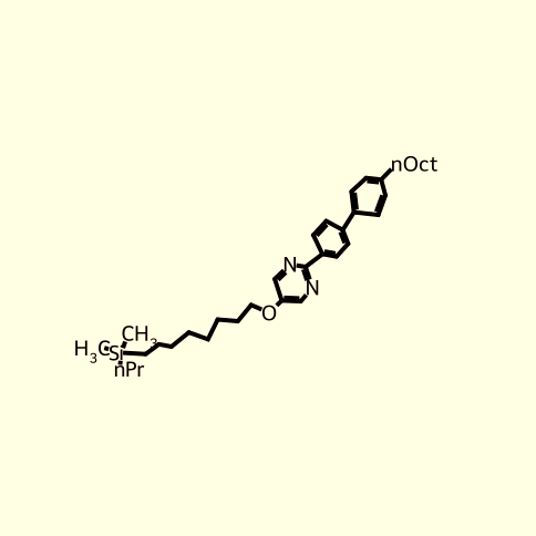 CCCCCCCCc1ccc(-c2ccc(-c3ncc(OCCCCCCCC[Si](C)(C)CCC)cn3)cc2)cc1